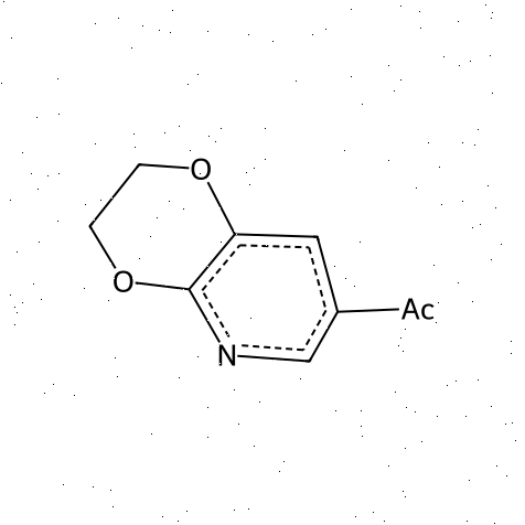 CC(=O)c1cnc2c(c1)OCCO2